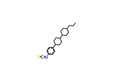 CCCC1CCC(C2CCC(c3ccc(N=C=S)cc3)CC2)CC1